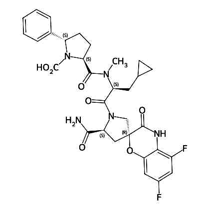 CN(C(=O)[C@@H]1CC[C@@H](c2ccccc2)N1C(=O)O)[C@@H](CC1CC1)C(=O)N1C[C@@]2(C[C@H]1C(N)=O)Oc1cc(F)cc(F)c1NC2=O